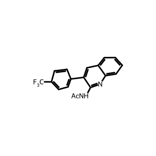 CC(=O)Nc1nc2ccccc2cc1-c1ccc(C(F)(F)F)cc1